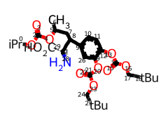 CC(C)OC(=O)OC(C)CC(c1ccc(OC(=O)OCC(C)(C)C)c(OC(=O)OCC(C)(C)C)c1)[C@H](N)C(=O)O